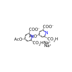 CC(=O)Oc1cc(C(=O)[O-])nc(C(=O)O)c1.CC(=O)Oc1cc(C(=O)[O-])nc(C(=O)O)c1.[Na+].[Na+]